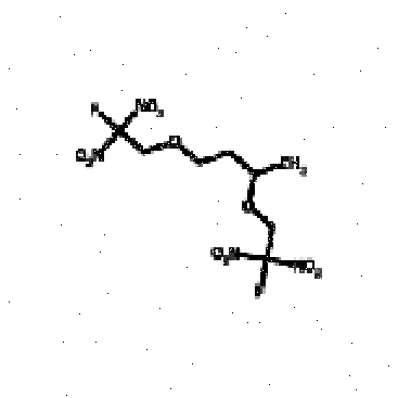 CC(CCOCC(F)([N+](=O)[O-])[N+](=O)[O-])OCC(F)([N+](=O)[O-])[N+](=O)[O-]